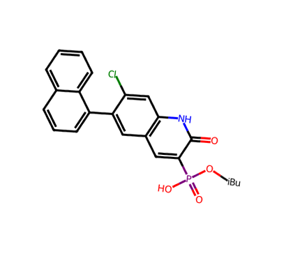 CCC(C)OP(=O)(O)c1cc2cc(-c3cccc4ccccc34)c(Cl)cc2[nH]c1=O